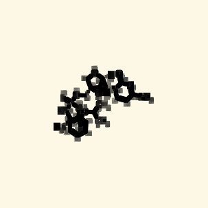 CC(C)OC(=O)[C@@H](C)NP(=S)(OC[C@@]12CO[C@@H]([C@H](n3ccc(N)nc3=O)O1)[C@@H]2O)Oc1ccccc1